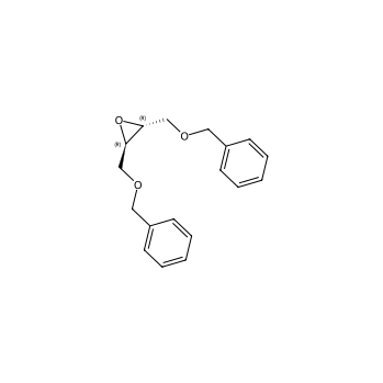 c1ccc(COC[C@H]2O[C@@H]2COCc2ccccc2)cc1